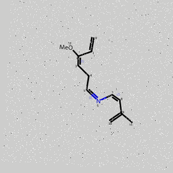 C=C/C(=C\C/C=N\C=C/C(=C)C)OC